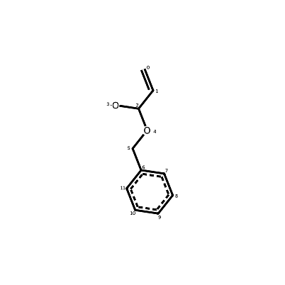 C=CC([O])OCc1ccccc1